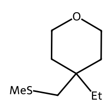 CCC1(CSC)CCOCC1